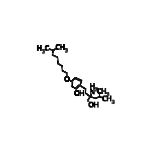 CC(C)CCCCCCOc1ccc(CCC(N)(CO)CC(C)C)c(O)c1